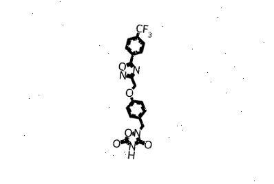 O=c1[nH]c(=O)n(Cc2ccc(OCc3noc(-c4ccc(C(F)(F)F)cc4)n3)cc2)o1